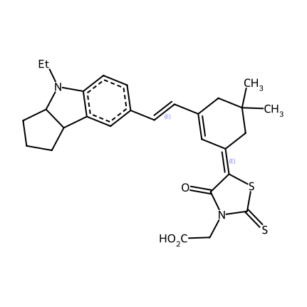 CCN1c2ccc(/C=C/C3=CC(=C4/SC(=S)N(CC(=O)O)C4=O)/CC(C)(C)C3)cc2C2CCCC21